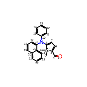 C[Si]1(C)C(C=O)=CC=C1N(c1ccccc1)c1cccc2ccccc12